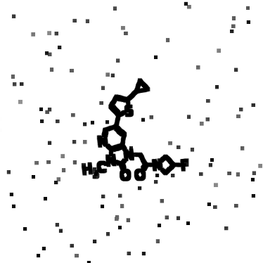 Cn1c(=O)n(CC(=O)N2CC(F)C2)c2cc(-c3ccc(C4CC4)s3)cnc21